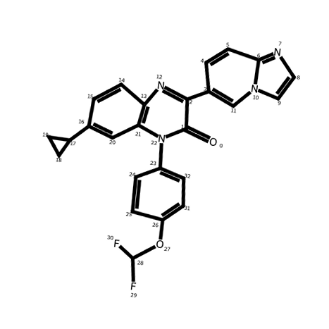 O=c1c(-c2ccc3nccn3c2)nc2ccc(C3CC3)cc2n1-c1ccc(OC(F)F)cc1